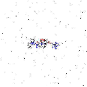 O=C(Nc1ccccc1-c1ccccc1)N[C@@H](CNC(=O)c1ccc(OCCNC2=NCCN2)cc1O)C(=O)O